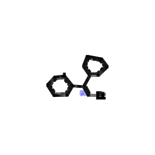 CC/C=C(/c1[c]cccc1)c1ccccc1